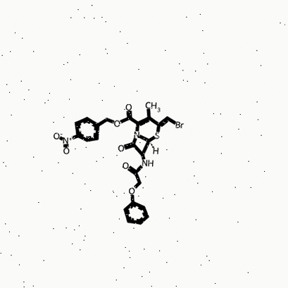 CC1=C(C(=O)OCc2ccc([N+](=O)[O-])cc2)N2C(=O)C(NC(=O)COc3ccccc3)[C@@H]2SC1=CBr